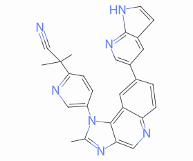 Cc1nc2cnc3ccc(-c4cnc5[nH]ccc5c4)cc3c2n1-c1ccc(C(C)(C)C#N)nc1